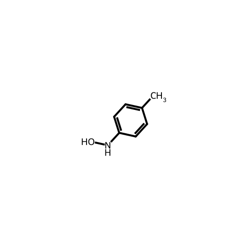 Cc1ccc(NO)cc1